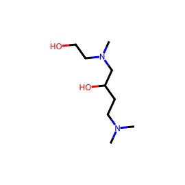 CN(C)CCC(O)CN(C)CCO